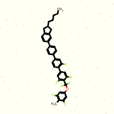 CCCCCC1Cc2ccc(-c3ccc(-c4ccc(-c5cc(F)c(C(F)(F)Oc6cc(F)c(C)c(F)c6)c(F)c5)c(F)c4)cc3)cc2C1